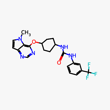 Cn1ccc2ncnc(OC3CCC(NC(=O)Nc4cccc(C(F)(F)F)c4)CC3)c21